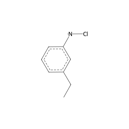 CCc1cccc([N]Cl)c1